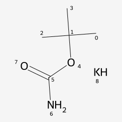 CC(C)(C)OC(N)=O.[KH]